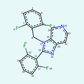 Fc1cccc(F)c1Cn1c(-c2c(F)cccc2F)nc2ccncc21